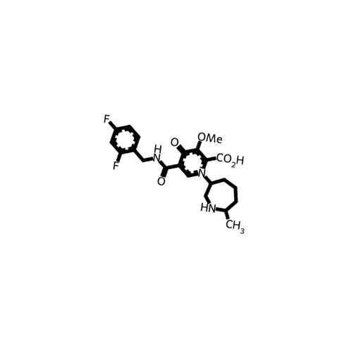 COc1c(C(=O)O)n(C2CCCC(C)NC2)cc(C(=O)NCc2ccc(F)cc2F)c1=O